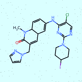 CN1C(=O)C(Cn2cccn2)=CC2C=C(Nc3nc(N4CCC(I)CC4)ncc3Cl)C=CC21